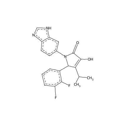 CC(C)C1=C(O)C(=O)N(c2ccc3nc[nH]c3c2)C1c1cccc(F)c1F